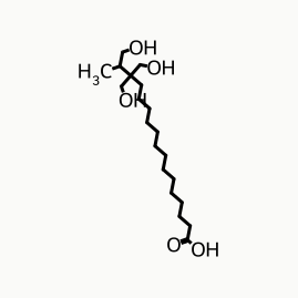 CC(CO)C(CO)(CO)CCCCCCCCCCCCCC(=O)O